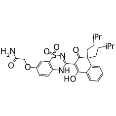 CC(C)CCC1(CCC(C)C)C(=O)C(C2=NS(=O)(=O)c3cc(OCC(N)=O)ccc3N2)=C(O)c2ccccc21